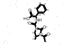 CC(=O)N1C(=O)N(C(=O)NC(C(=O)O)c2ccccc2)CC1C